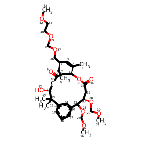 CC[C@H](/C=C(/C)[C@@H]1CC(=O)C[C@H](O)C(C)(C)c2cccc(c2)C(OCOC)[C@H](OCOC)CC(=O)O1)COCOCCOC